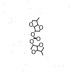 CC1COC2C(OC(=O)OC3COC4C(C)COC34)COC12